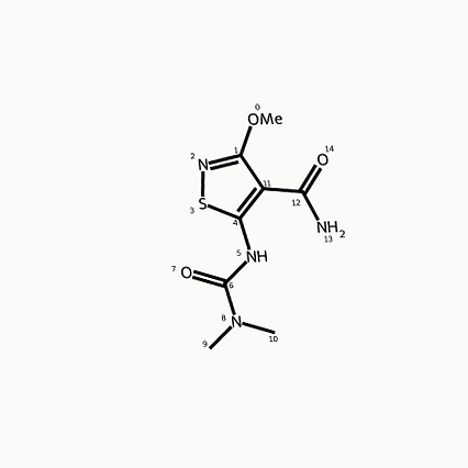 COc1nsc(NC(=O)N(C)C)c1C(N)=O